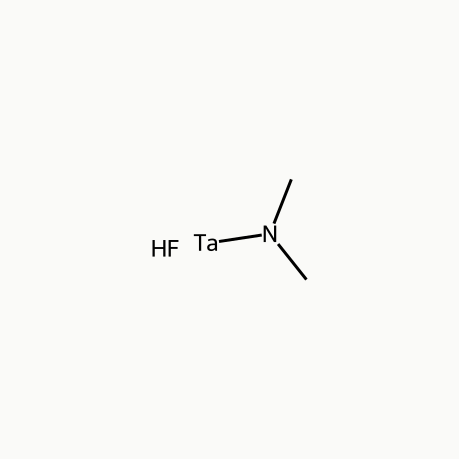 C[N](C)[Ta].F